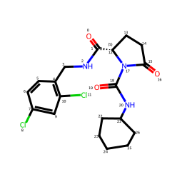 O=C(NCc1ccc(Cl)cc1Cl)[C@@H]1CCC(=O)N1C(=O)NC1CCCCC1